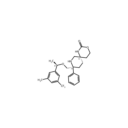 Cc1cc([C@@H](C)OC[C@@]2(c3ccccc3)CC[C@]3(CCOC(=O)N3)CN2)cc(C(F)(F)F)c1